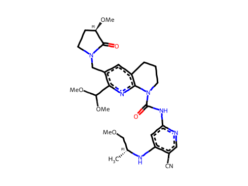 COC[C@@H](C)Nc1cc(NC(=O)N2CCCc3cc(CN4CC[C@@H](OC)C4=O)c(C(OC)OC)nc32)ncc1C#N